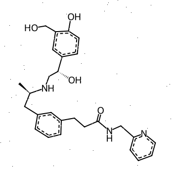 C[C@H](Cc1cccc(CCC(=O)NCc2ccccn2)c1)NC[C@@H](O)c1ccc(O)c(CO)c1